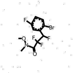 CON(C)C(=O)C(F)(F)C(F)c1cc(F)ccc1Br